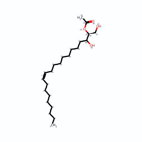 CCCCCCCC/C=C\CCCCCCCCC(O)[C@H](CO)OC(C)=O